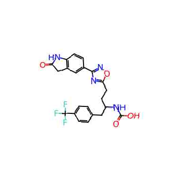 O=C(O)NC(CCc1nc(-c2ccc3c(c2)CC(=O)N3)no1)Cc1ccc(C(F)(F)F)cc1